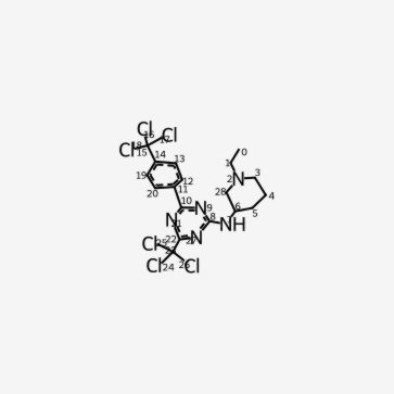 CCN1CCCC(Nc2nc(-c3ccc(C(Cl)(Cl)Cl)cc3)nc(C(Cl)(Cl)Cl)n2)C1